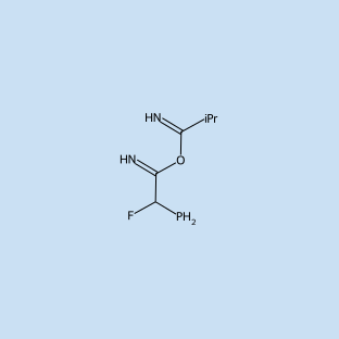 CC(C)C(=N)OC(=N)C(F)P